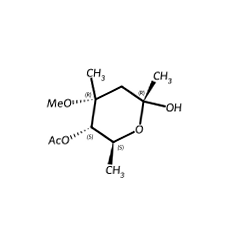 CO[C@]1(C)C[C@](C)(O)O[C@@H](C)[C@@H]1OC(C)=O